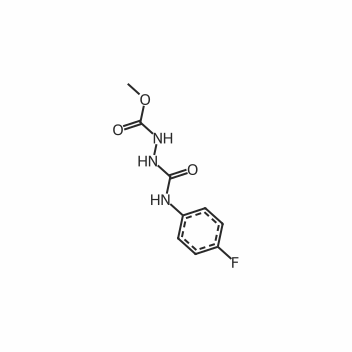 COC(=O)NNC(=O)Nc1ccc(F)cc1